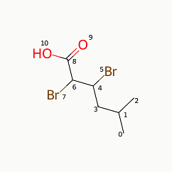 CC(C)CC(Br)C(Br)C(=O)O